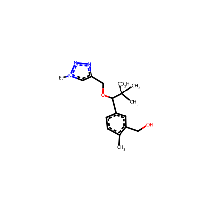 CCn1cc(COC(c2ccc(C)c(CO)c2)C(C)(C)C(=O)O)nn1